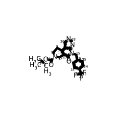 CC(C)(C)OC(=O)N1CCc2c(c(=O)n(Cc3ccc(C(F)(F)F)cc3)c3ncncc23)C1